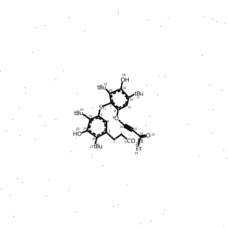 CCOC(=O)CCc1cc(Sc2c(OC#CC(=O)CC)cc(C(C)(C)C)c(O)c2C(C)(C)C)c(C(C)(C)C)c(O)c1C(C)(C)C